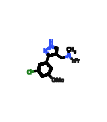 CCCN(C)Cc1c[nH]nc1-c1cc(Cl)cc(OC)c1